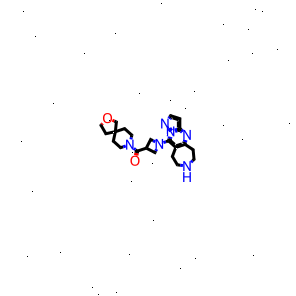 O=C(C1CN(c2c3c(nc4ccnn24)CCNCC3)C1)N1CCC2(CCOC2)CC1